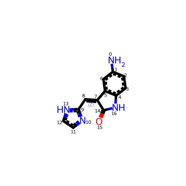 Nc1ccc2c(c1)/C(=C/c1ncc[nH]1)C(=O)N2